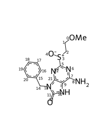 COCC[S+]([O-])c1nc(N)c2[nH]c(=O)n(Cc3ccccc3)c2n1